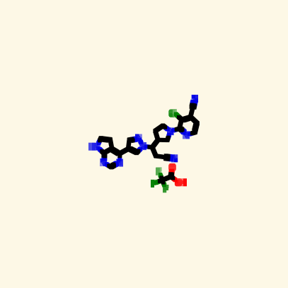 N#CCC(C1CCN(c2nccc(C#N)c2Cl)C1)n1cc(-c2ncnc3[nH]ccc23)cn1.O=C(O)C(F)(F)F